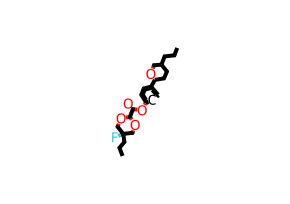 CCCC1CCC(c2ccc(OC(=O)C3OCC(F)(CCC)CO3)cc2)OC1